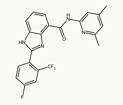 Cc1cc(C)nc(NC(=O)c2cccc3[nH]c(-c4ccc(F)cc4C(F)(F)F)nc23)c1